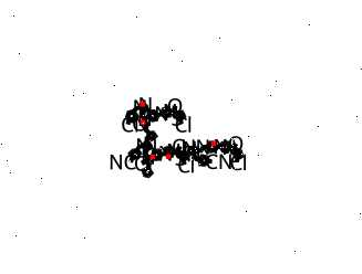 N#Cc1ccc(Cn2cncc2CN(C(=O)CC2CCCC2)c2ccc(N3CCN(C(=O)c4ccc(Cl)s4)CC3)cc2)cc1.N#Cc1ccc(Cn2cncc2CN(C(=O)CCC2CCCC2)c2ccc(N3CCN(C(=O)c4ccc(Cl)s4)CC3)cc2)cc1.N#Cc1ccc(Cn2cncc2CNc2ccc(N3CCN(C(=O)c4ccc(Cl)s4)CC3)cc2)cc1